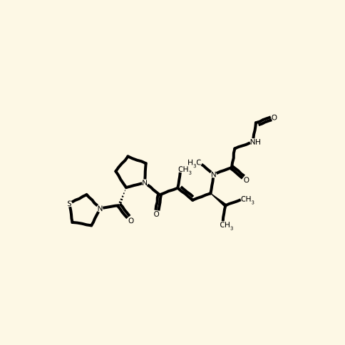 C/C(=C\[C@H](C(C)C)N(C)C(=O)CNC=O)C(=O)N1CCC[C@H]1C(=O)N1CCSC1